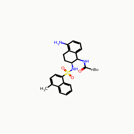 CCCCC(=O)NC1c2cccc(N)c2CC[C@@H]1NS(=O)(=O)c1ccc(C)c2ccccc12